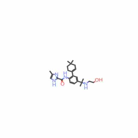 Cc1c[nH]c(C(=O)Nc2ccc(C(C)(C)NCCO)cc2C2=CCC(C)(C)CC2)n1